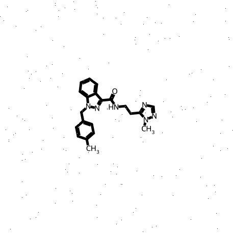 Cc1ccc(Cn2nc(C(=O)NCCc3ncnn3C)c3ccccc32)cc1